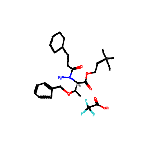 CC(OCc1ccccc1)[C@@H](C(=O)OCC[Si](C)(C)C)N(N)C(=O)CCC1CCCCC1.O=C(O)C(F)(F)F